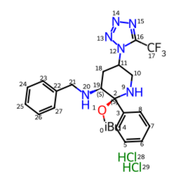 CCC(C)O[C@]1(c2ccccc2)NCC(n2nnnc2C(F)(F)F)C[C@@H]1NCc1ccccc1.Cl.Cl